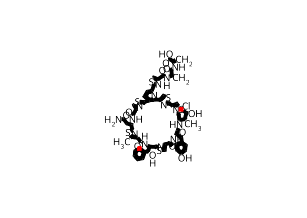 C=C(NC(=O)C(=C)NC(=O)c1csc(-c2ccc3c(n2)-c2csc(n2)-c2csc(n2)C(C(C)C(O)CCl)NC(=O)C(Cc2ccc(O)cc2)NC(=O)c2csc(n2)C(C(O)c2ccccc2)NC(=O)c2nc(sc2C)C(CC(N)=O)NC(=O)c2csc-3n2)n1)C(=O)O